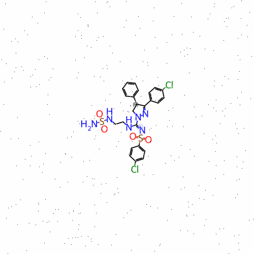 NS(=O)(=O)NCCN/C(=N\S(=O)(=O)c1ccc(Cl)cc1)N1C[C@@H](c2ccccc2)C(c2ccc(Cl)cc2)=N1